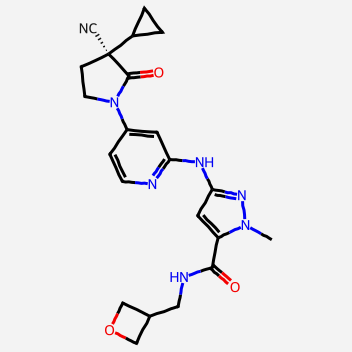 Cn1nc(Nc2cc(N3CC[C@@](C#N)(C4CC4)C3=O)ccn2)cc1C(=O)NCC1COC1